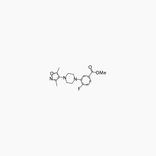 COC(=O)c1ccc(F)c(N2CCN(c3c(C)noc3C)CC2)c1